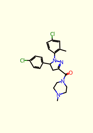 Cc1cc(Cl)ccc1N1N=C(C(=O)N2CCN(C)CC2)CC1c1ccc(Cl)cc1